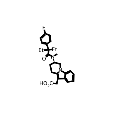 CCC(CC)(C(=O)N(C)[C@@H]1CCc2c(CC(=O)O)c3ccccc3n2C1)c1ccc(F)cc1